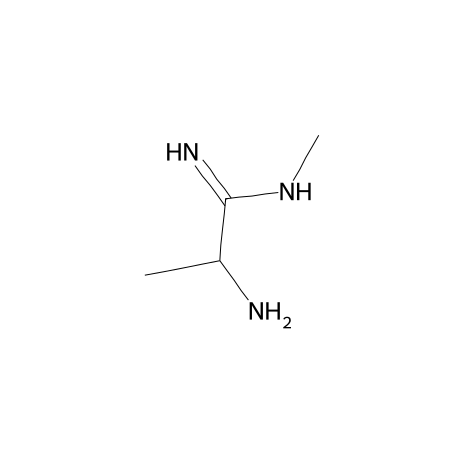 CNC(=N)C(C)N